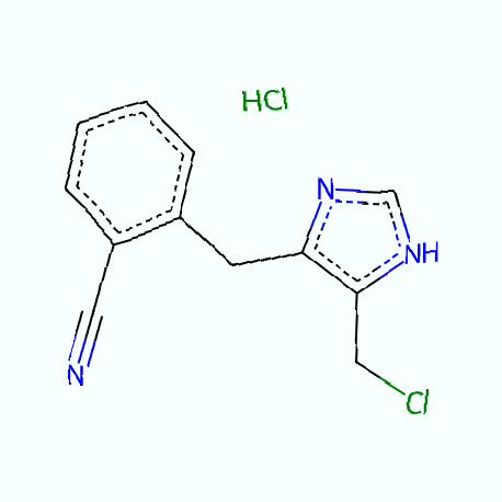 Cl.N#Cc1ccccc1Cc1nc[nH]c1CCl